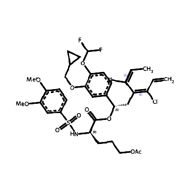 C=C/C(Cl)=C(C[C@H](OC(=O)[C@@H](CCCOC(C)=O)NS(=O)(=O)c1ccc(OC)c(OC)c1)c1ccc(OC(F)F)c(OCC2CC2)c1)\C(Cl)=C/C